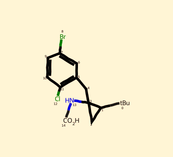 CC(C)(C)C1CC1(Cc1cc(Br)ccc1Cl)NC(=O)O